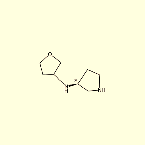 C1C[C@H](NC2CCOC2)CN1